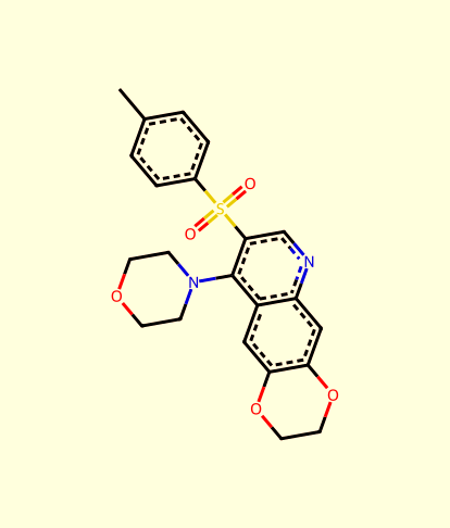 Cc1ccc(S(=O)(=O)c2cnc3cc4c(cc3c2N2CCOCC2)OCCO4)cc1